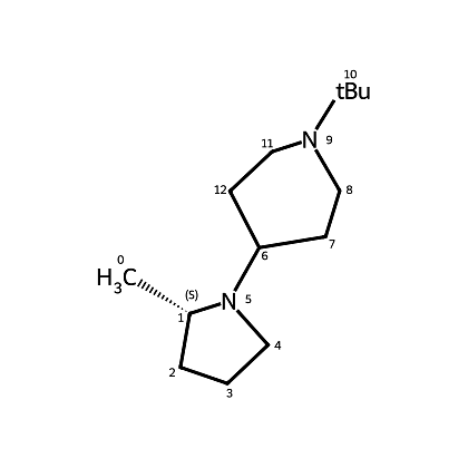 C[C@H]1CCCN1C1CCN(C(C)(C)C)CC1